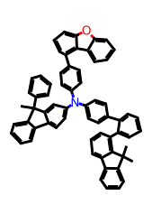 CC1(C)c2ccccc2-c2cccc(-c3ccccc3-c3ccc(N(c4ccc(-c5cccc6oc7ccccc7c56)cc4)c4ccc5c(c4)C(C)(c4ccccc4)c4ccccc4-5)cc3)c21